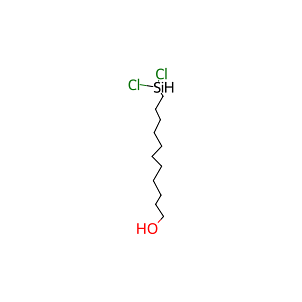 OCCCCCCCCCCC[SiH](Cl)Cl